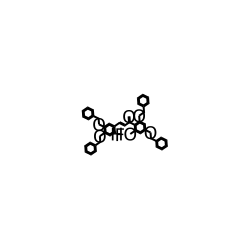 O=C(/C=C/c1cc(OCc2ccccc2)c(OCc2ccccc2)cc1F)c1c(O)cc(OCc2ccccc2)cc1OCc1ccccc1